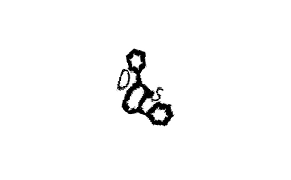 c1ccc2c(c1)oc1ccc3c4ccccc4sc3c12